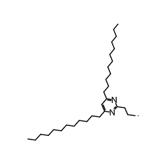 [CH2]CCc1nc(CCCCCCCCCCCC)cc(CCCCCCCCCCCC)n1